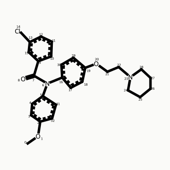 COc1ccc(N(C(=O)c2cccc(Cl)c2)c2ccc(OCCN3CCCCC3)cc2)cc1